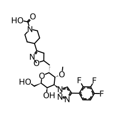 CO[C@@H]1[C@@H](n2cc(-c3ccc(F)c(F)c3F)nn2)[C@@H](O)[C@@H](CO)O[C@@H]1CC1CC(C2CCN(C(=O)O)CC2)=NO1